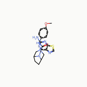 COc1ccc(NC(=O)N2CC3CCC(C2)N3c2nc(N)nc3scnc23)cc1